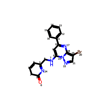 O=C1CC=CC(CNc2cc(-c3ccccc3)nc3c(Br)cnn23)=N1